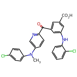 CN(c1ccc(Cl)cc1)c1ccc(C(=O)c2cc(Nc3ccccc3Cl)cc(C(=O)O)c2)nc1